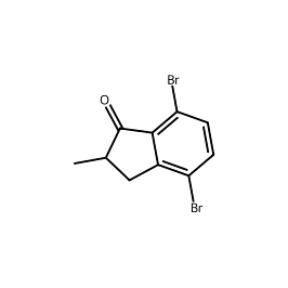 CC1Cc2c(Br)ccc(Br)c2C1=O